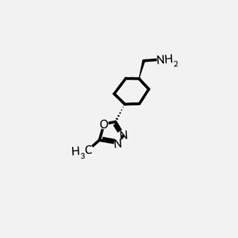 Cc1nnc([C@H]2CC[C@H](CN)CC2)o1